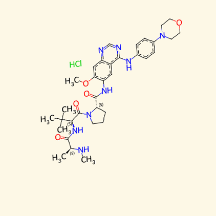 CN[C@@H](C)C(=O)N[C@H](C(=O)N1CCC[C@H]1C(=O)Nc1cc2c(Nc3ccc(N4CCOCC4)cc3)ncnc2cc1OC)C(C)(C)C.Cl